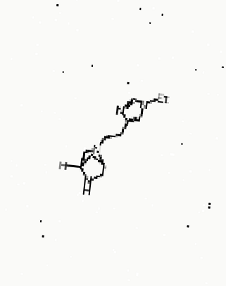 CCn1cnc(CCN2C[C@@H]3CC2CN3)c1